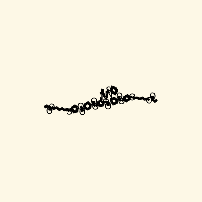 C=CC(=O)OCCCCCCOc1ccc(OC(=O)[C@H]2CC[C@H](C(=O)Oc3ccc(OC(=O)[C@H]4CC[C@H](C(=O)Oc5ccc(OCCCCCCOC(=O)C=C)cc5)CC4)c(/C=N/N(C(=C)C)c4nc5ccccc5s4)c3)CC2)cc1